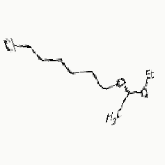 CCOC(C)OCCCCCCCl